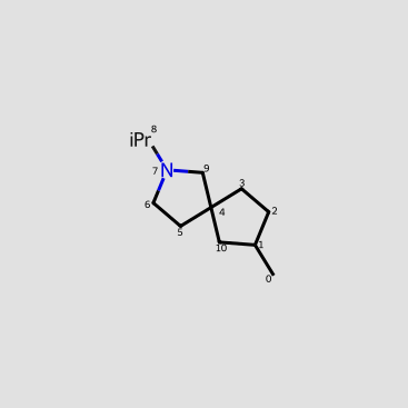 CC1CCC2(CCN(C(C)C)C2)C1